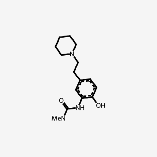 CNC(=O)Nc1cc(CCN2CCCCC2)ccc1O